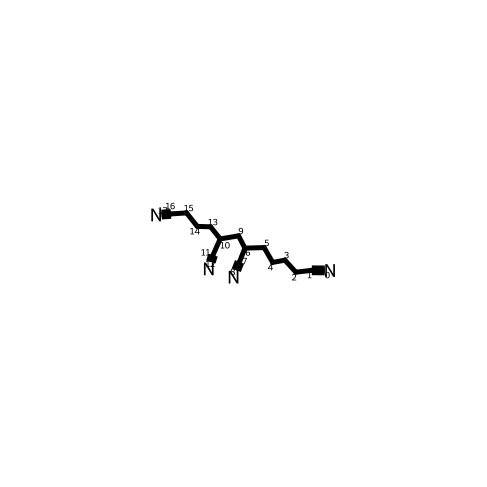 N#CCCCCC(C#N)CC(C#N)CCCC#N